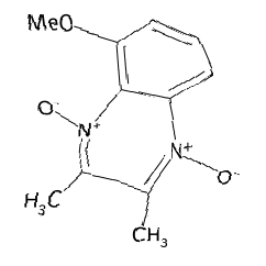 COc1cccc2c1[n+]([O-])c(C)c(C)[n+]2[O-]